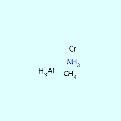 C.N.[AlH3].[Cr]